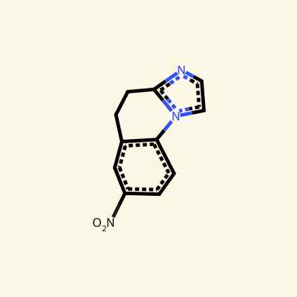 O=[N+]([O-])c1ccc2c(c1)CCc1nccn1-2